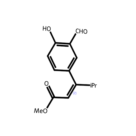 COC(=O)/C=C(\c1ccc(O)c(C=O)c1)C(C)C